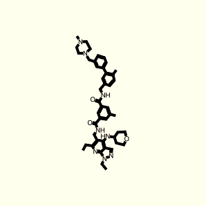 CCc1nc2c(cnn2CC)c(NC2CCOCC2)c1CNC(=O)c1cc(C)cc(C(=O)NCc2ccc(C)c(-c3cccc(CN4CCN(C)CC4)c3)c2)c1